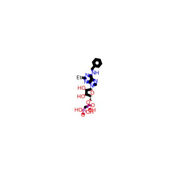 CCc1nc(NCc2ccccc2)c2ncn([C@@H]3O[C@H](COP(=O)(O)CP(=O)(O)O)[C@@H](O)[C@H]3O)c2n1